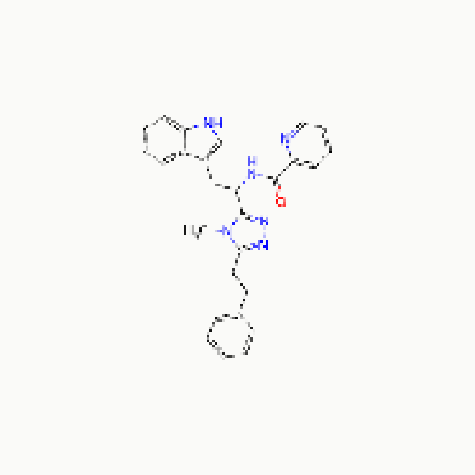 Cn1c(CCc2ccccc2)nnc1C(Cc1c[nH]c2ccccc12)NC(=O)c1ccccn1